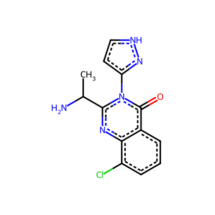 CC(N)c1nc2c(Cl)cccc2c(=O)n1-c1cc[nH]n1